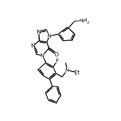 CCN(C)Cc1c(-c2ccccc2)ccc(-n2cnc3ncn(-c4cccc(CN)c4)c3c2=O)c1F